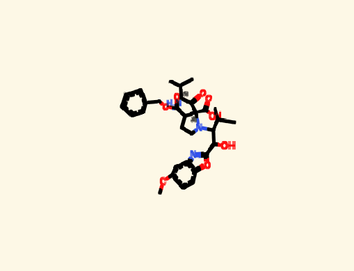 COc1ccc2oc(C(O)C(C(C)C)N3CCC(C(=O)OCc4ccccc4)[C@]3(C(=O)O)C(=O)[C@@H](N)C(C)C)nc2c1